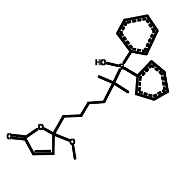 COC1(CCCCC(C)(C)[Si](O)(c2ccccc2)c2ccccc2)C=CC(=O)O1